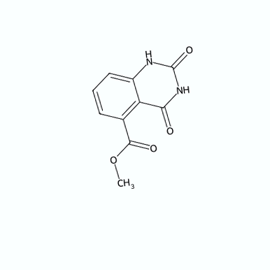 COC(=O)c1cccc2[nH]c(=O)[nH]c(=O)c12